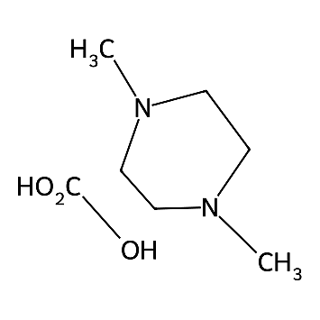 CN1CCN(C)CC1.O=C(O)O